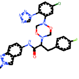 Cn1cc2cc(NC(=O)C(Cc3ccc(F)cc3)N3CON(c4cc(Cl)ccc4-n4cnnn4)CO3)ccc2n1